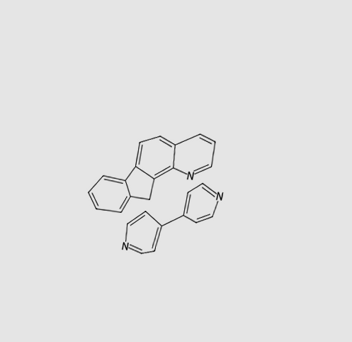 c1cc(-c2ccncc2)ccn1.c1ccc2c(c1)Cc1c-2ccc2cccnc12